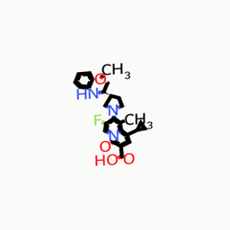 COCC(Nc1ccccc1)[C@@H]1CCN(c2c(F)cn3c(=O)c(C(=O)O)cc(C4CC4)c3c2C)C1